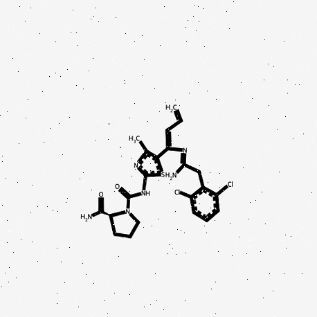 C=C/C=C(\N=C(/N)Cc1c(Cl)cccc1Cl)c1sc(NC(=O)N2CCC[C@H]2C(N)=O)nc1C